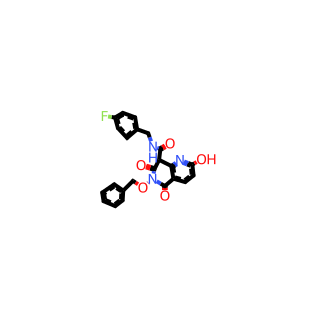 O=C(NCc1ccc(F)cc1)C1C(=O)N(OCc2ccccc2)C(=O)c2ccc(O)nc21